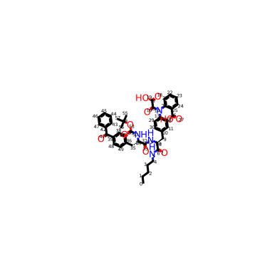 CCCCCNC(=O)[C@H](Cc1ccc(N(C(=O)C(=O)O)c2ccccc2C(=O)O)cc1)NC(=O)[C@H](Cc1ccc(C(=O)c2ccccc2)cc1)NC(=O)OC(C)(C)C